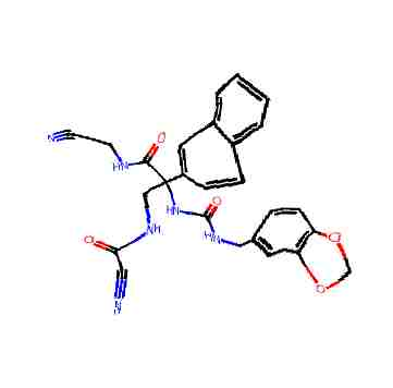 N#CCNC(=O)C(CNC(=O)C#N)(NC(=O)Nc1ccc2c(c1)OCO2)c1ccc2ccccc2c1